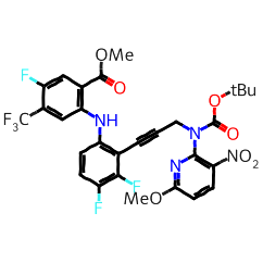 COC(=O)c1cc(F)c(C(F)(F)F)cc1Nc1ccc(F)c(F)c1C#CCN(C(=O)OC(C)(C)C)c1nc(OC)ccc1[N+](=O)[O-]